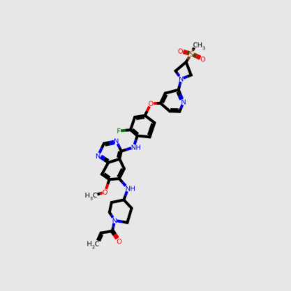 C=CC(=O)N1CCC(Nc2cc3c(Nc4ccc(Oc5ccnc(N6CC(S(C)(=O)=O)C6)c5)cc4F)ncnc3cc2OC)CC1